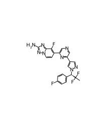 CC(F)(F)[C@@H](c1ccc(F)cc1)n1cc(-c2cncc(-c3ccn4nc(N)nc4c3F)n2)cn1